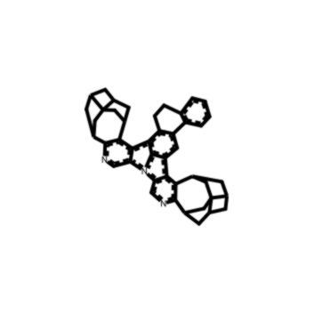 c1ccc2c(c1)CCc1c-2cc2c3c4c(ncc3n3c5cnc6c(c5c1c23)C1CC2CC3CC6CC32C1)C1CC2CC3CC4CC23C1